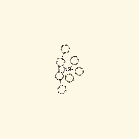 c1ccc(-c2ccc3c4ccc(-c5ccccc5)c5c4n(c3c2)[Si](c2ccccc2)(c2ccccc2)c2ccccc2-5)cc1